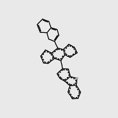 C1=CC2=CC=C(c3c4ccccc4c(-c4ccc5c(c4)oc4ccccc45)c4ccccc34)CC2C=C1